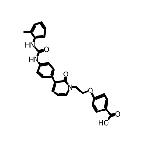 Cc1ccccc1NC(=O)Nc1ccc(-c2cccn(CCOc3ccc(C(=O)O)cc3)c2=O)cc1